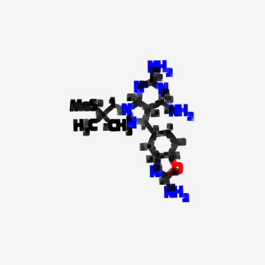 CSC(C)(C)Cn1nc(-c2ccc3oc(N)nc3c2)c2c(N)nc(N)nc21